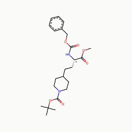 COC(=O)[C@H](CCC1CCN(C(=O)OC(C)(C)C)CC1)NC(=O)OCc1ccccc1